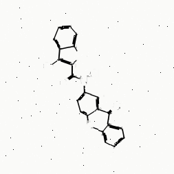 CN(C(=O)c1sc2ccccc2c1Cl)c1ccc2sc3ccccc3c(=O)c2c1